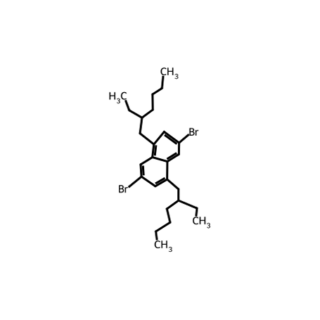 CCCCC(CC)Cc1cc(Br)cc2c(CC(CC)CCCC)cc(Br)cc12